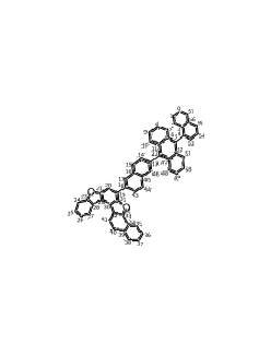 c1ccc2c(-c3c4ccccc4c(-c4ccc5cc(-c6cc7oc8ccccc8c7c7c6oc6c8ccccc8ccc67)ccc5c4)c4ccccc34)cccc2c1